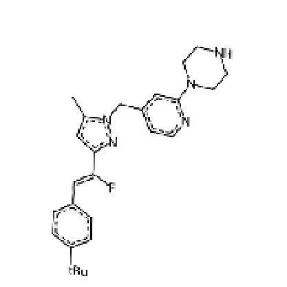 Cc1cc(C(F)=Cc2ccc(C(C)(C)C)cc2)nn1Cc1ccnc(N2CCNCC2)c1